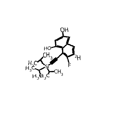 [2H]c1cc2cc(O)cc(O)c2c(C#C[Si](C(C)C)(C(C)C)C(C)C)c1F